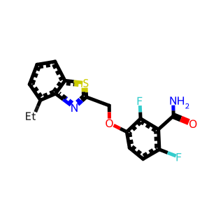 CCc1cccc2sc(COc3ccc(F)c(C(N)=O)c3F)nc12